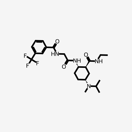 CCNC(=O)[C@H]1C[C@H](N(C)C(C)C)CC[C@@H]1NC(=O)CNC(=O)c1cccc(C(F)(F)F)c1